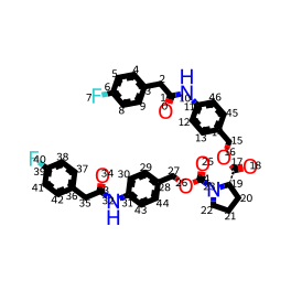 O=C(Cc1ccc(F)cc1)Nc1ccc(COC(=O)[C@@H]2CCCN2C(=O)OCc2ccc(NC(=O)Cc3ccc(F)cc3)cc2)cc1